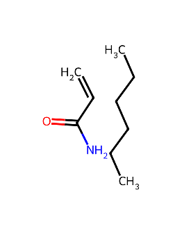 C=CC(N)=O.CCCCCC